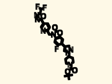 CC(C)(C)OC(=O)N1CCC(n2cc(-c3cc4oc(=O)n(Cc5ccc(-c6nnc(C(F)F)o6)cn5)c4cc3F)cn2)CC1